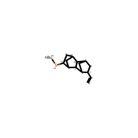 C=CC1CC2CC1C1C3CC(CC3SCCCC)C21